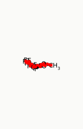 CCCCCC1COC(C2CCC(c3cc(F)c(C(F)(F)Oc4ccc(-c5cc(F)c(OC(F)(F)F)c(F)c5)c(F)c4)c(F)c3)CC2)OC1